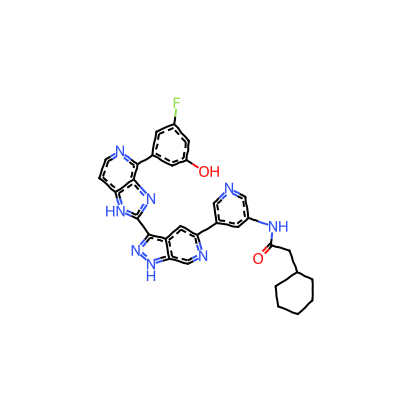 O=C(CC1CCCCC1)Nc1cncc(-c2cc3c(-c4nc5c(-c6cc(O)cc(F)c6)nccc5[nH]4)n[nH]c3cn2)c1